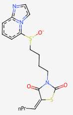 CCCC=C1SC(=O)N(CCCC[S+]([O-])c2cccc3nccn23)C1=O